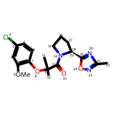 COc1cc(Cl)ccc1OC(C)(C)C(=O)N1CCC[C@H]1c1nc(C)no1